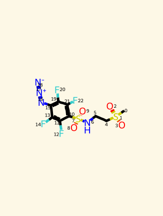 CS(=O)(=O)CCNS(=O)(=O)c1c(F)c(F)c(N=[N+]=[N-])c(F)c1F